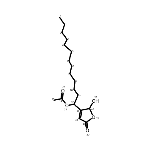 CCCCCCCCCCCCC(OC(C)=O)C1=CC(=O)OC1O